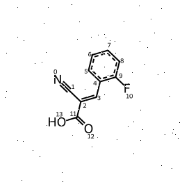 N#C/C(=C\c1ccccc1F)C(=O)O